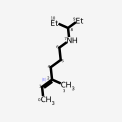 C/C=C(\C)CCCNC(CC)CC